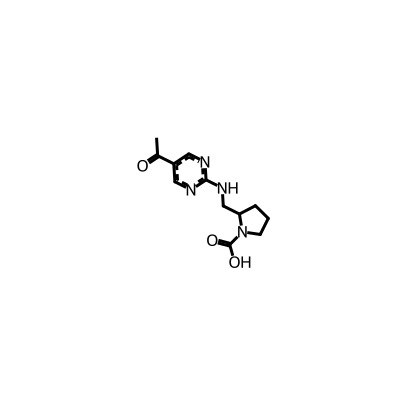 CC(=O)c1cnc(NCC2CCCN2C(=O)O)nc1